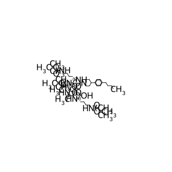 CCCCc1ccc(C2CCN(C(=O)N[C@@H](CCCCNC(=O)OC(C)(C)C)C(=O)N[C@H](C(=O)N[C@@H](C)C(=O)N[C@@H](CCCCNC(=O)OC(C)(C)C)C(=O)O)[C@@H](C)OC(C)(C)C)CC2)cc1